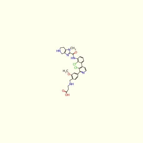 COc1cc(-c2nccc(-c3cccc(NC(=O)c4nc5c(n4C)CCNC5)c3Cl)c2Cl)ccc1CNCCC(=O)O